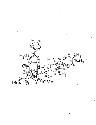 COc1ccccc1C(O)(Cn1c(=O)n(C(C)(C)C(=O)OC(C)(C)C)c(=O)c2c(C)c(-c3ncco3)sc21)C1C[C@@]2(C)CC3(C[C@@]2(C)C1)OCC(C)(C)CO3